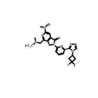 CC(C)N(C)c1cc2c(c(CN(C)C(=O)O)n1)CN(c1cccc(-c3nncn3C3CC(F)(F)C3)n1)C2=O